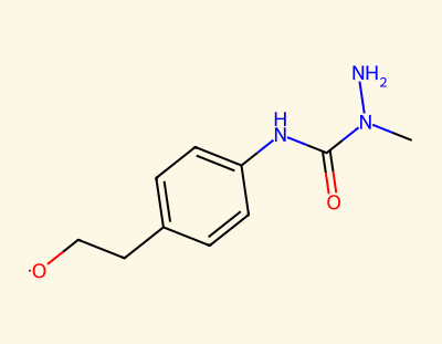 CN(N)C(=O)Nc1ccc(CC[O])cc1